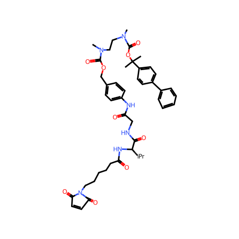 CC(C)C(NC(=O)CCCCCN1C(=O)C=CC1=O)C(=O)NCC(=O)Nc1ccc(COC(=O)N(C)CCN(C)C(=O)OC(C)(C)c2ccc(-c3ccccc3)cc2)cc1